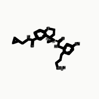 N#Cc1ccc(CCCC(=O)O)c(NC(=O)[C@@H]2C[C@]23CCOc2ccc(C(=O)NCC4CC4)cc23)c1